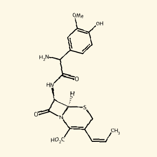 C/C=C\C1=C(C(=O)O)N2C(=O)[C@@H](NC(=O)C(N)c3ccc(O)c(OC)c3)[C@H]2SC1